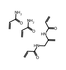 C=CC(=O)NCC(=C)NC(=O)C=C.C=CC(N)=O.C=CC(N)=O